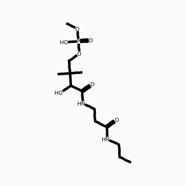 CCCNC(=O)CCNC(=O)C(O)C(C)(C)COP(=O)(O)OC